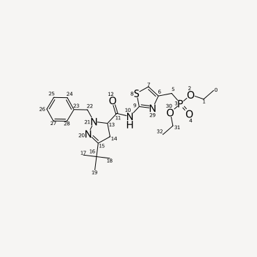 CCOP(=O)(Cc1csc(NC(=O)C2CC(C(C)(C)C)=NN2Cc2ccccc2)n1)OCC